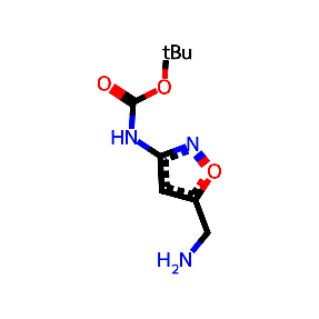 CC(C)(C)OC(=O)Nc1cc(CN)on1